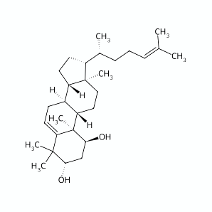 CC(C)=CCC[C@@H](C)[C@H]1CC[C@H]2[C@@H]3CC=C4C(C)(C)[C@@H](O)C[C@H](O)[C@]4(C)[C@H]3CC[C@]12C